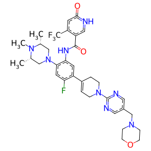 C[C@@H]1CN(c2cc(F)c(C3=CCN(c4ncc(CN5CCOCC5)cn4)CC3)cc2NC(=O)c2c[nH]c(=O)cc2C(F)(F)F)C[C@H](C)N1C